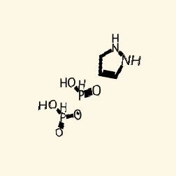 C1=CNNC1.O=[PH](O)O[PH](=O)O